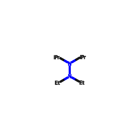 CCN(CC)N(C(C)C)C(C)C